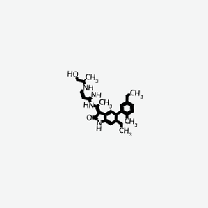 CCc1ccc(C)c(C2C=C3C(=CC2CC)NC(=O)/C3=C(/C)NC(=N)/C=C\N[C@@H](C)CO)c1